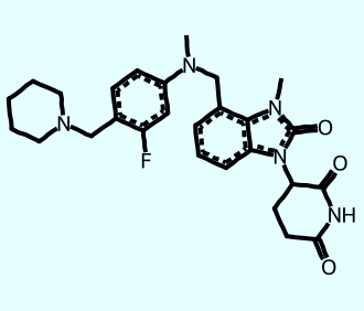 CN(Cc1cccc2c1n(C)c(=O)n2C1CCC(=O)NC1=O)c1ccc(CN2CCCCC2)c(F)c1